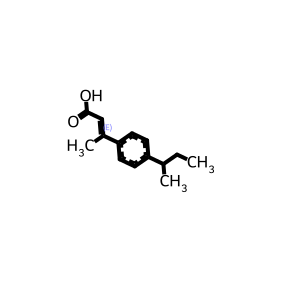 CCC(C)c1ccc(/C(C)=C/C(=O)O)cc1